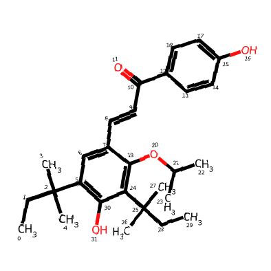 CCC(C)(C)c1cc(/C=C/C(=O)c2ccc(O)cc2)c(OC(C)C)c(C(C)(C)CC)c1O